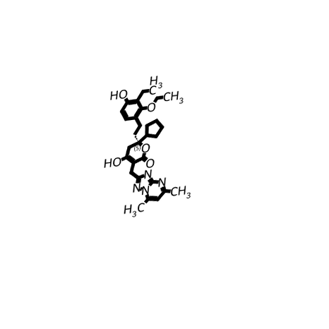 CCOc1c(CC[C@@]2(C3CCCC3)CC(O)=C(Cc3nc4nc(C)cc(C)n4n3)C(=O)O2)ccc(O)c1CC